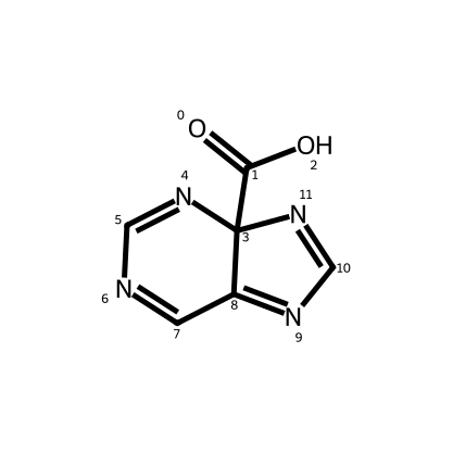 O=C(O)C12N=CN=CC1=NC=N2